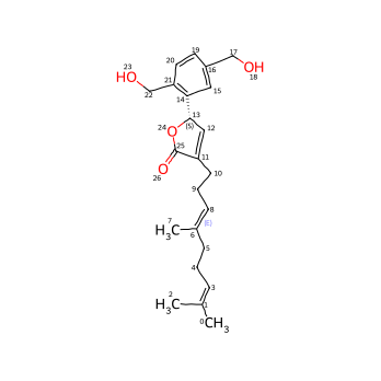 CC(C)=CCC/C(C)=C/CCC1=C[C@@H](c2cc(CO)ccc2CO)OC1=O